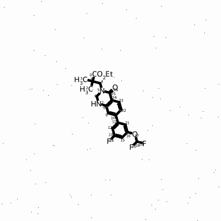 CCOC(=O)C(C)(C)CN1CNc2cc(-c3cc(F)cc(OC(F)F)c3)ccc2C1=O